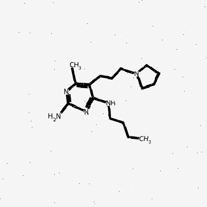 CCCCNc1nc(N)nc(C)c1CCCN1CCCC1